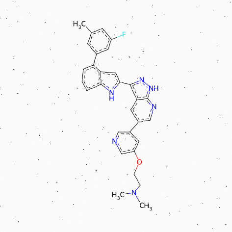 Cc1cc(F)cc(-c2cccc3[nH]c(-c4n[nH]c5ncc(-c6cncc(OCCN(C)C)c6)cc45)cc23)c1